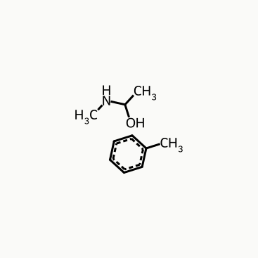 CNC(C)O.Cc1ccccc1